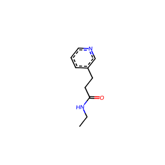 CCNC(=O)CCc1cccnc1